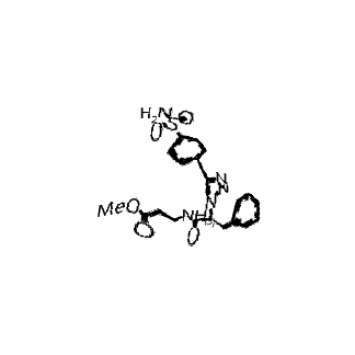 COC(=O)CCNC(=O)[C@H](Cc1ccccc1)n1cc(-c2ccc(S(N)(=O)=O)cc2)nn1